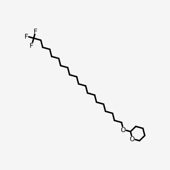 FC(F)(F)CCCCCCCCCCCCCCCCCCCOC1CCCCO1